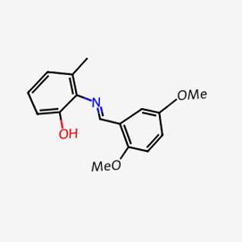 COc1ccc(OC)c(C=Nc2c(C)cccc2O)c1